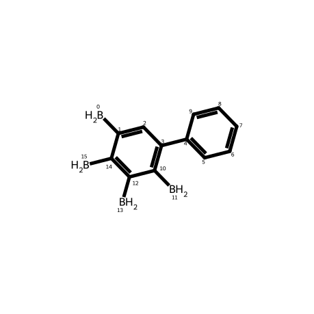 Bc1cc(-c2ccccc2)c(B)c(B)c1B